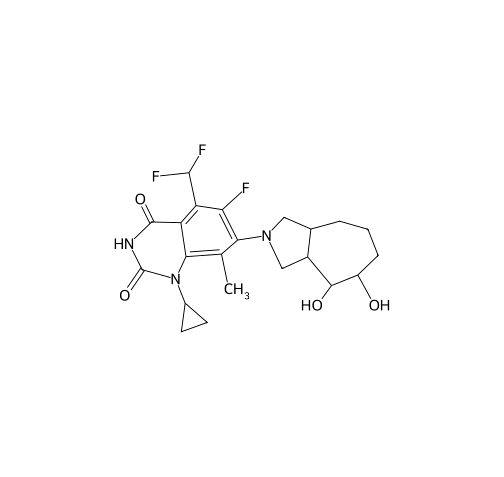 Cc1c(N2CC3CCCC(O)C(O)C3C2)c(F)c(C(F)F)c2c(=O)[nH]c(=O)n(C3CC3)c12